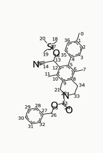 Cc1ccc(-c2c(C)c3c(c(C)c2C(C#N)O[Si](C)(C)C)CN(C(=O)OCc2ccccc2)CC3)cc1